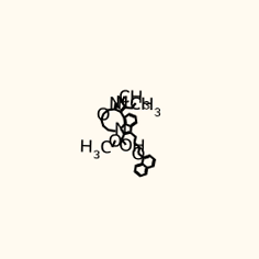 CCOC(O)c1c(CCCOc2cccc3ccccc23)c2cccc3c2n1CCCCOCc1nn(C)c(CC)c1-3